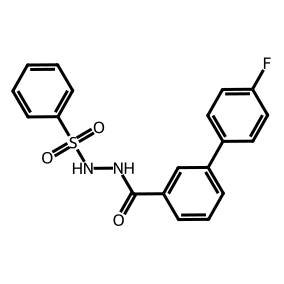 O=C(NNS(=O)(=O)c1ccccc1)c1cccc(-c2ccc(F)cc2)c1